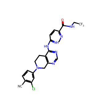 C/N=C(\C=C/C(=N)Nc1ncnc2c1CCN(c1ccc(C#N)c(Cl)c1)C2)C(=O)NCC(F)(F)F